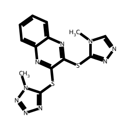 Cn1cnnc1Sc1nc2ccccc2nc1Sc1nnnn1C